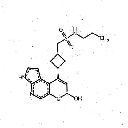 CCCNS(=O)(=O)C[C@H]1C[C@@H](C2=CB(O)Oc3cnc4[nH]ccc4c32)C1